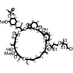 CCC(CC)(CCO)OCCC(CC)(CC)O[C@H]1C[C@@H]2CC[C@@H](C)[C@@](O)(O2)C(=O)C(=O)N2CCCC[C@H]2C(=O)O[C@H]([C@H](C)C[C@@H]2CC[C@@H](OP(C)(C)=O)[C@H](OC)C2)CC(=O)[C@H](C)/C=C(\C)[C@@H](O)[C@@H](OC)C(=O)[C@H](C)C[C@H](C)/C=C/C=C/C=C/1C